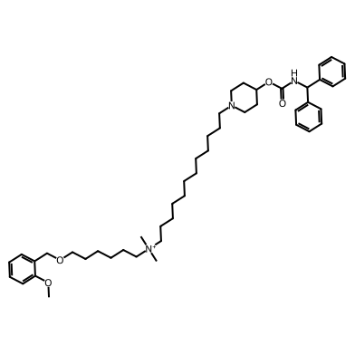 COc1ccccc1COCCCCCC[N+](C)(C)CCCCCCCCCCCCN1CCC(OC(=O)NC(c2ccccc2)c2ccccc2)CC1